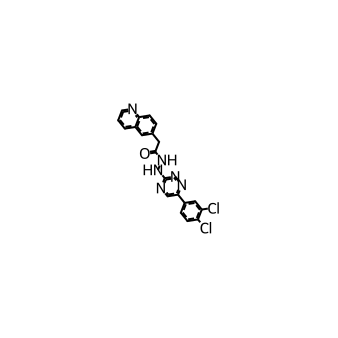 O=C(Cc1ccc2ncccc2c1)NNc1ncc(-c2ccc(Cl)c(Cl)c2)nn1